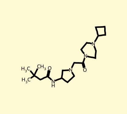 CC(C)(C)CC(=O)NC1CCN(CC(=O)N2CCN(C3CCC3)CC2)C1